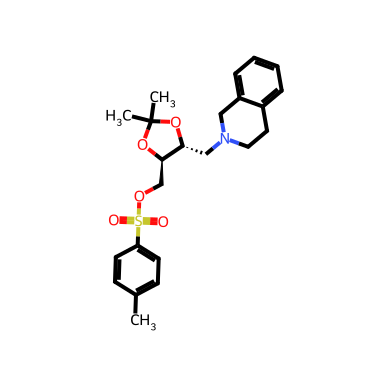 Cc1ccc(S(=O)(=O)OC[C@H]2OC(C)(C)O[C@@H]2CN2CCc3ccccc3C2)cc1